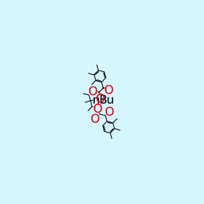 CCCCC(C)(C(C)OC(=O)C(=O)c1ccc(C)c(C)c1C)C(C)OC(=O)C(=O)c1ccc(C)c(C)c1C